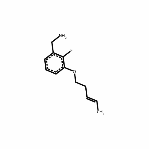 CC=CCCOc1cccc(CN)c1F